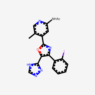 CC(=O)Nc1cc(-c2nc(-c3ccccc3I)c(-c3nnc[nH]3)o2)c(C)cn1